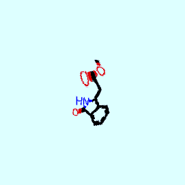 COC(=O)C=C1NC(=O)c2ccccc21